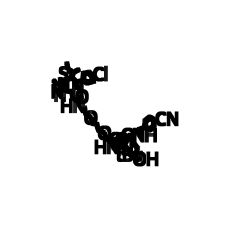 Cc1sc2c(c1C)C(c1ccc(Cl)cc1)=N[C@@H](CC(=O)NCCOCCCOCC(=O)N[C@H](C(=O)N1C[C@H](O)C[C@H]1C(=O)NCc1ccc(C#N)cc1)C(C)(C)C)c1nnc(C)n1-2